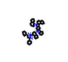 c1ccc(-c2cc(-c3ccccc3)nc(-c3ccc(-n4c5ccccc5c5cc6c7c8ccccc8ccc7n(-c7cccc8ccccc78)c6cc54)c4ccccc34)n2)cc1